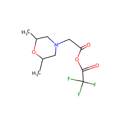 CC1CN(CC(=O)OC(=O)C(F)(F)F)CC(C)O1